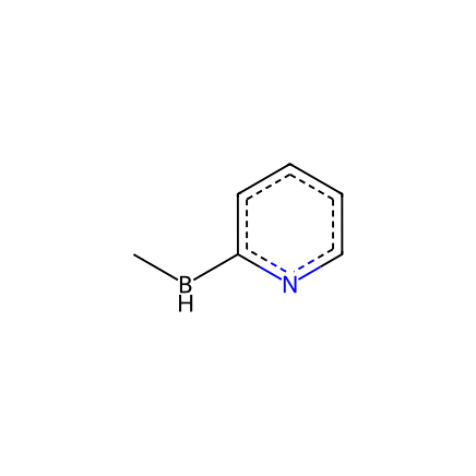 CBc1ccccn1